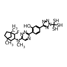 CN(c1cnc(-c2ccc(-c3nnn(C(S)(S)S)n3)cc2O)nn1)[C@H]1C[C@]2(C)CC[C@@](C)(C2)[C@H]1F